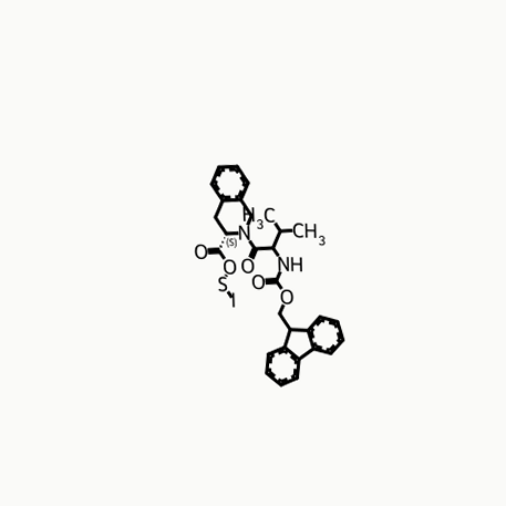 CC(C)C(NC(=O)OCC1c2ccccc2-c2ccccc21)C(=O)N1Cc2ccccc2C[C@H]1C(=O)OSI